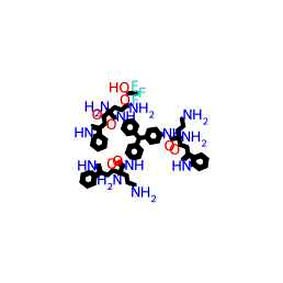 NCCC[C@@](N)(C(=O)Cc1c[nH]c2ccccc12)C(=O)Nc1ccc(C(c2ccc(NC(=O)[C@@](N)(CCCN)C(=O)Cc3c[nH]c4ccccc34)cc2)c2ccc(NC(=O)[C@@](N)(CCCN)C(=O)Cc3c[nH]c4ccccc34)cc2)cc1.O=C(O)C(F)(F)F